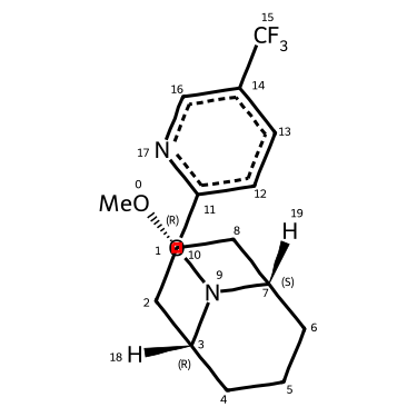 CO[C@H]1C[C@H]2CCC[C@@H](C1)N2Oc1ccc(C(F)(F)F)cn1